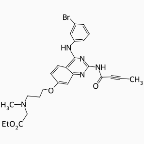 CC#CC(=O)Nc1nc(Nc2cccc(Br)c2)c2ccc(OCCCN(C)CC(=O)OCC)cc2n1